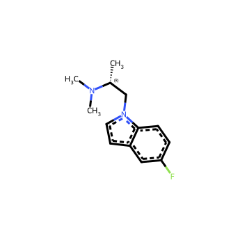 C[C@H](Cn1ccc2cc(F)ccc21)N(C)C